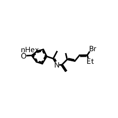 C=C(/N=C(\C)c1ccc(OCCCCCC)cc1)/C(C)=C/C=C(/Br)CC